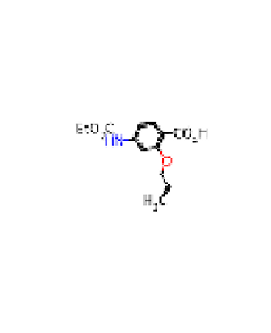 C=CCOc1cc(NC(=O)OCC)ccc1C(=O)O